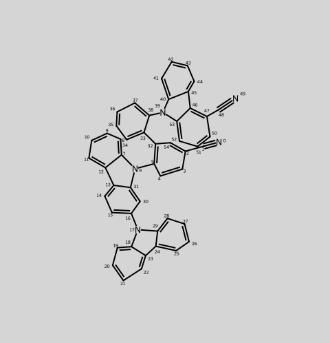 N#Cc1ccc(-n2c3ccccc3c3ccc(-n4c5ccccc5c5ccccc54)cc32)c(-c2ccccc2-n2c3ccccc3c3c(C#N)cccc32)c1